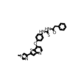 Cn1cnc(-c2cc3nccc(Oc4ccc(NC(=S)NC(=O)Cc5ccccc5)cc4)c3s2)c1